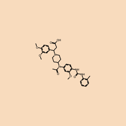 COc1cc(N(C(C)=O)C2CCN(C(CC(=O)O)c3ccc(OC)c(OC)c3)CC2)ccc1NC(=O)Nc1ccccc1C